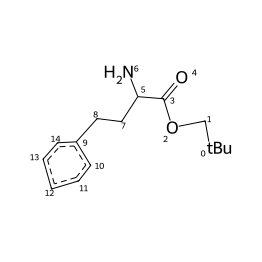 CC(C)(C)COC(=O)C(N)CCc1ccccc1